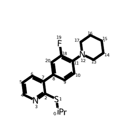 CC(C)Sc1ncccc1-c1ccc(N2CC[CH]CC2)c(F)c1